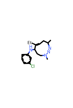 CC/C1=C\CC(C)/N=N\N(C)CCC1Nc1cccc(Cl)c1